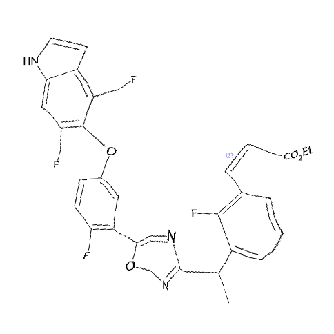 CCOC(=O)/C=C\c1cccc(C(C)c2noc(-c3cc(Oc4c(F)cc5[nH]ccc5c4F)ccc3F)n2)c1F